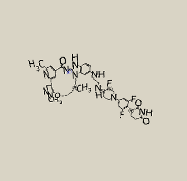 Cc1cc2cc(n1)-c1cnn(C)c1OCCC[C@@H](C)CN1/C(=N/C2=O)Nc2ccc(NCCN[C@H]3CCN(c4cc(F)c([C@H]5CCC(=O)NC5=O)c(F)c4)C[C@@H]3F)cc21